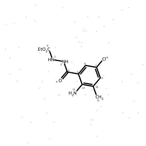 CCOC(=O)NNC(=O)c1cc(Cl)cc(C)c1N